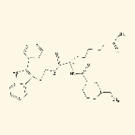 CCN1CCCC(C(=O)N[C@@H](CCCCCC(C)=O)C(=O)NCCc2c(-c3ccccc3)[nH]c3ccccc23)C1